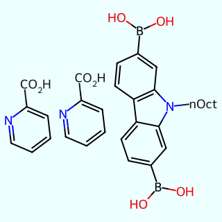 CCCCCCCCn1c2cc(B(O)O)ccc2c2ccc(B(O)O)cc21.O=C(O)c1ccccn1.O=C(O)c1ccccn1